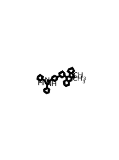 CC1(C)c2ccccc2-c2c1cc1ccccc1c2-c1cccc(-c2ccc(C3=NC(c4ccccc4)NC(c4ccccc4)N3)cc2)c1